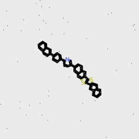 c1ccc2cc(-c3ccc(-c4ccc(-c5ccc6cc7c(cc6c5)sc5c6cc8ccccc8cc6sc75)cn4)cc3)ccc2c1